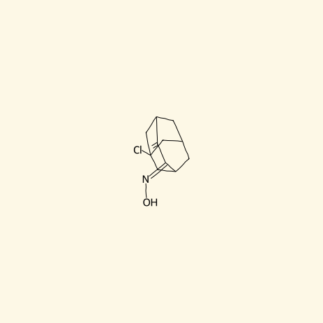 C=C1/C(=N/O)C2CC3CC1CC(Cl)(C3)C2